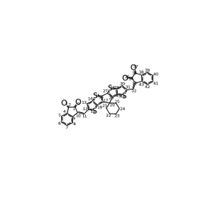 O=C1C(=O)c2ccccc2/C1=C/c1cc2sc3c(c2s1)C1(CCCCC1)c1c-3sc2cc(/C=C3\C(=O)C(=O)c4ccccc43)sc12